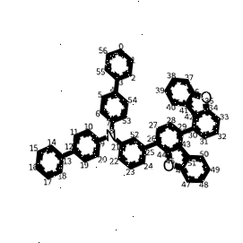 c1ccc(-c2ccc(N(c3ccc(-c4ccccc4)cc3)c3cccc(-c4ccc(-c5cccc6oc7ccccc7c56)c5c4oc4ccccc45)c3)cc2)cc1